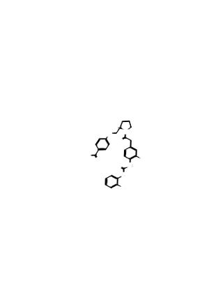 COC(=O)c1ccc(OC[C@@]2(F)CCCN2C(=O)Cc2ccc(NC(=O)Nc3ccccc3Br)c(Br)c2)cc1